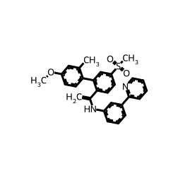 C=C(Nc1cccc(-c2ccccn2)c1)c1ccc(S(C)(=O)=O)cc1-c1ccc(OC)cc1C